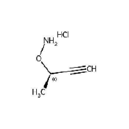 C#C[C@@H](C)ON.Cl